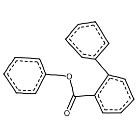 O=C(Oc1ccccc1)c1ccccc1-c1ccccc1